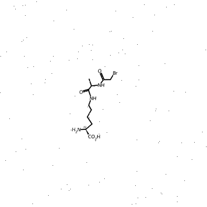 CC(NC(=O)CBr)C(=O)NCCCC[C@H](N)C(=O)O